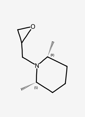 C[C@@H]1CCC[C@H](C)N1CC1CO1